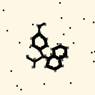 COc1ccc(N(c2cccc3ccccc23)C(C)C)cc1